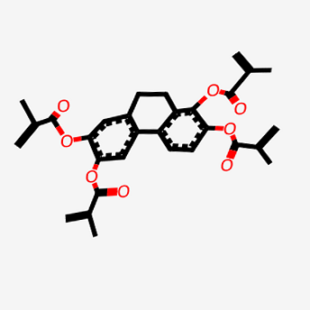 C=C(C)C(=O)Oc1cc2c(cc1OC(=O)C(=C)C)-c1ccc(OC(=O)C(=C)C)c(OC(=O)C(=C)C)c1CC2